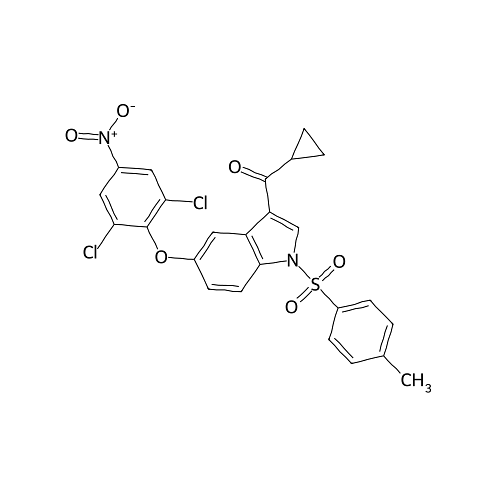 Cc1ccc(S(=O)(=O)n2cc(C(=O)C3CC3)c3cc(Oc4c(Cl)cc([N+](=O)[O-])cc4Cl)ccc32)cc1